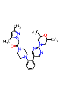 Cc1cc(C)n(CC(=O)N2CCN(c3ccccc3-c3cnc(N4CC(C)OC(C)C4)nc3)CC2)n1